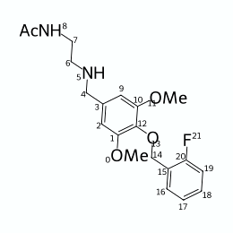 COc1cc(CNCCNC(C)=O)cc(OC)c1OCc1ccccc1F